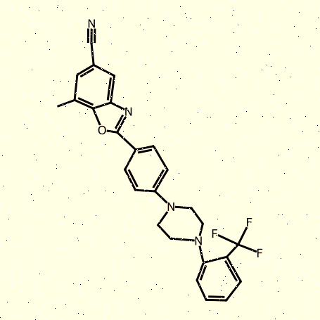 Cc1cc(C#N)cc2nc(-c3ccc(N4CCN(c5ccccc5C(F)(F)F)CC4)cc3)oc12